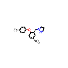 CCc1ccc(Oc2ccc([N+](=O)[O-])cc2Cn2cccn2)cc1